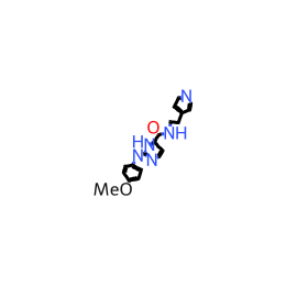 COc1ccc(Nc2nccc(C(=O)NCCc3ccncc3)n2)cc1